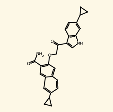 NC(=O)c1cc2cc(C3CC3)ccc2cc1OCC(=O)c1c[nH]c2cc(C3CC3)ccc12